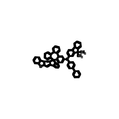 CC1(C)c2ccccc2-c2ccc(N(c3ccc(-c4ccccc4)cc3)c3ccc4c(c3)-c3ccccc3-c3ccccc3C43c4ccccc4-c4cc5oc6ccccc6c5cc43)cc21